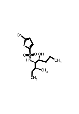 CCC[C@H](O)[C@H](NS(=O)(=O)c1ccc(Br)s1)[C@@H](C)CC